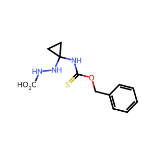 O=C(O)NNC1(NC(=S)OCc2ccccc2)CC1